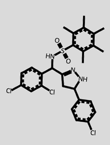 Cc1c(C)c(C)c(S(=O)(=O)NC(C2=NNC(c3ccc(Cl)cc3)C2)c2ccc(Cl)cc2Cl)c(C)c1C